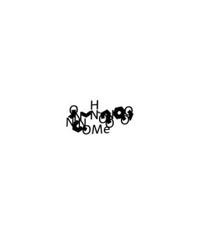 COc1ccc2ncc(=O)n(CCCNC[C@@H]3CN(c4ccc5c(c4)OCCO5)C(=O)O3)c2n1